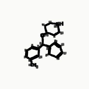 Cc1cccc(C(OC2CCNCC2)c2ccccc2)c1